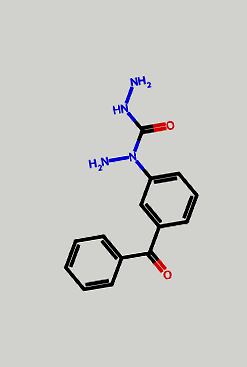 NNC(=O)N(N)c1cccc(C(=O)c2ccccc2)c1